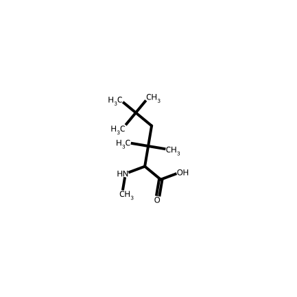 CNC(C(=O)O)C(C)(C)CC(C)(C)C